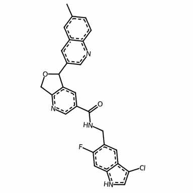 Cc1ccc2ncc(C3OCc4ncc(C(=O)NCc5cc6c(Cl)c[nH]c6cc5F)cc43)cc2c1